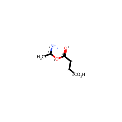 CC(N)OC(=O)CCC(=O)O